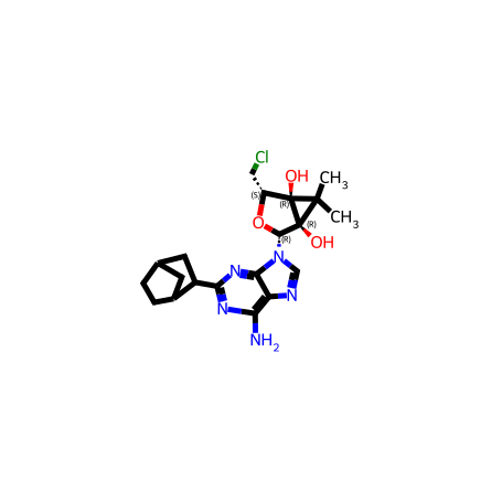 CC1(C)[C@]2(O)[C@H](n3cnc4c(N)nc(C5CC6CCC5C6)nc43)O[C@H](CCl)[C@]12O